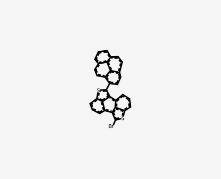 Brc1sc2cccc3c4c(-c5ccc6ccc7cccc8ccc5c6c78)sc5cccc(c1c23)c54